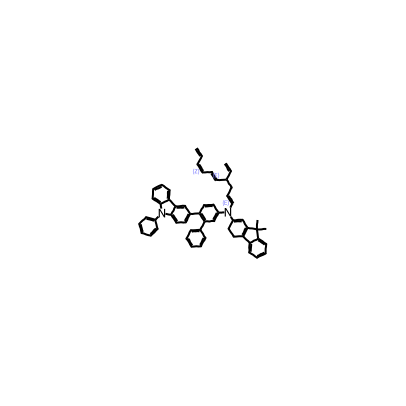 C=C/C=C\C=C\C(C=C)C/C=C/N(C1=CC2=C(CC1)c1ccccc1C2(C)C)c1ccc(-c2ccc3c(c2)c2ccccc2n3-c2ccccc2)c(-c2ccccc2)c1